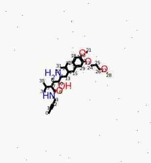 CC#CCNC(=O)C(CC(O)C(N)CC(Cc1ccc(OC)c(OCCCOC)c1)C(C)C)C(C)C